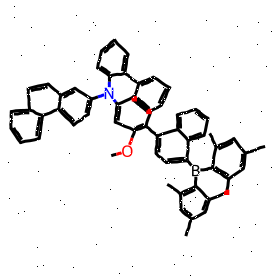 COc1cc(N(c2ccc3c(ccc4ccccc43)c2)c2ccccc2-c2ccccc2)ccc1-c1ccc(B(c2c(C)cc(C)cc2C)c2c(C)cc(C)cc2C)c2ccccc12